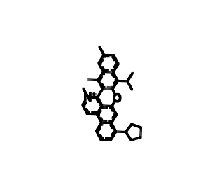 Cc1ccc2c(C(C)C)c3c(c(C)c2c1)-c1c2c(cc4c(C5CCCC5)cccc4c2cc[n+]1C)O3